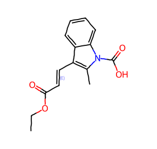 CCOC(=O)/C=C/c1c(C)n(C(=O)O)c2ccccc12